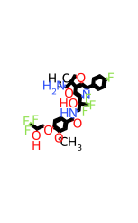 COc1cc(C(=O)NC[C@](O)(c2cc3c(c(-c4ccc(F)cc4)n2)OC[C@]3(C)C(N)=O)C(F)(F)F)ccc1OC[C@H](O)C(F)(F)F